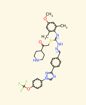 COc1cc(C)c(/N=C(/N/N=C/c2ccc(-c3ncn(-c4ccc(OC(F)(F)F)cc4)n3)cc2)SCC(=O)C2CCNCC2)c(C)c1